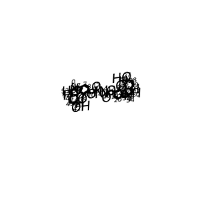 CN1CC[C@]23c4c5ccc(OC(=O)N=NC(=O)Oc6ccc7c8c6O[C@H]6[C@@H](O)C=C[C@H]9[C@@H](C7)N(C)CC[C@@]896)c4O[C@H]2[C@@H](O)C=C[C@H]3[C@H]1C5